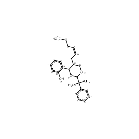 CC(C)(c1cccnc1)C1OCC(C/C=C\CCC(=O)O)C(c2ccccc2O)O1